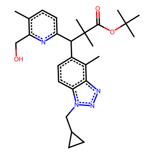 Cc1ccc(C(c2ccc3c(nnn3CC3CC3)c2C)C(C)(C)C(=O)OC(C)(C)C)nc1CO